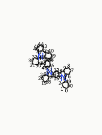 c1ccc(-n2c3ccccc3c3cc4c(cc32)c2ccccc2n4-c2cccc(-c3ccccc3-n3c4ccccc4c4ccccc43)c2)cc1